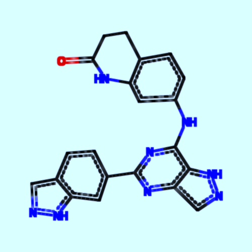 O=C1CCc2ccc(Nc3nc(-c4ccc5cn[nH]c5c4)nc4cn[nH]c34)cc2N1